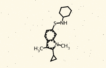 Cc1c(C2CC2)n(C)c2cc(SNC3CCCCC3)ccc12